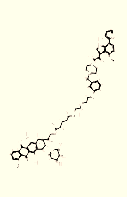 COc1cccc2c1C(=O)c1c(O)c3c(c(O)c1C2=O)C[C@@](O)(C(=O)COC(=O)CCCC(=O)NCCOCCOc1cccc(C(=O)N2CCN(C(=O)C(=O)c4c[nH]c5c(-c6ccco6)ccc(OC)c45)CC2)c1)C[C@@H]3O[C@H]1C[C@H](N)[C@H](O)[C@H](C)O1